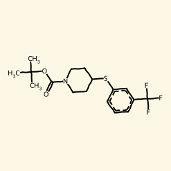 CC(C)(C)OC(=O)N1CCC(Sc2cccc(C(F)(F)F)c2)CC1